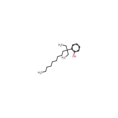 CCCCCCCCCC(CC)(CC)c1ccccc1O